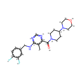 Cc1c(NCc2ccc(F)c(F)c2)ncnc1C(=O)N1CCC(N2CCOCC2)CC1